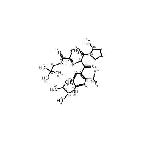 C/C(=N\C(C(=O)N1CCC[C@@H]1C)C(=S)c1cnc(N[C@@H](C)C(C)C)cc1C(F)F)C(=O)NCC(C)(C)O